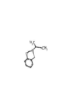 CC(C)N1COc2ccccc2C1